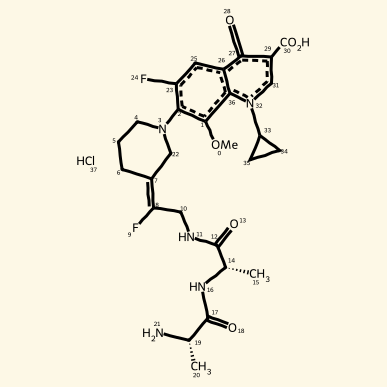 COc1c(N2CCC/C(=C(\F)CNC(=O)[C@H](C)NC(=O)[C@H](C)N)C2)c(F)cc2c(=O)c(C(=O)O)cn(C3CC3)c12.Cl